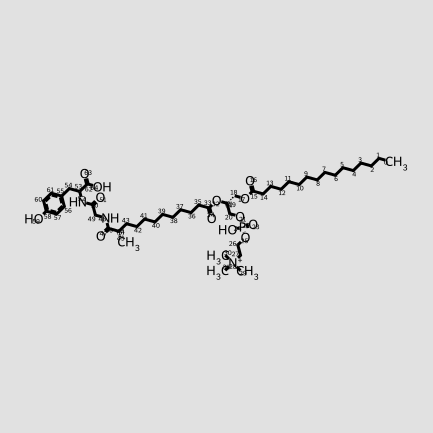 CCCCCCCCCCCCCCCC(=O)OC[C@H](COP(=O)(O)OCC[N+](C)(C)C)OC(=O)CCCCCCCCC[C@H](C)C(=O)NCC(=O)NC(Cc1ccc(O)cc1)C(=O)O